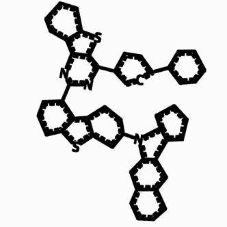 c1ccc(-c2ccc(-c3nc(-c4cccc5sc6cc(-n7c8ccccc8c8cc9ccccc9cc87)ccc6c45)nc4c3sc3ccccc34)cc2)cc1